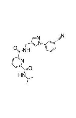 CC(C)NC(=O)c1cccc(C(=O)NCc2cnn(-c3cccc(C#N)c3)c2)n1